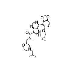 C[C](C)CN1CCOC(CNC(=O)c2c[nH]c3c(-c4c(OCC5CC5)ccc5c4OCO5)ncnc23)C1